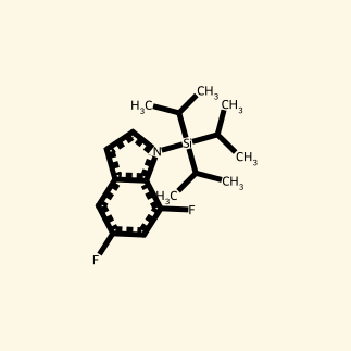 CC(C)[Si](C(C)C)(C(C)C)n1ccc2cc(F)cc(F)c21